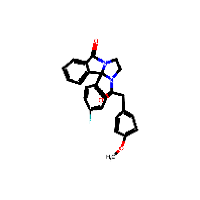 COc1ccc(CC(=O)N2CCN3C(=O)c4ccccc4C23c2ccc(F)cc2)cc1